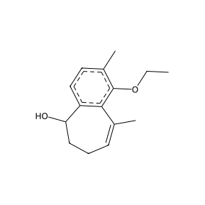 CCOc1c(C)ccc2c1C(C)=CCCC2O